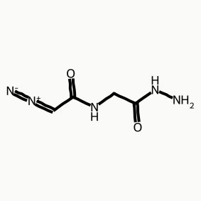 [N-]=[N+]=CC(=O)NCC(=O)NN